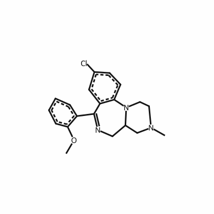 COc1ccccc1C1=NCC2CN(C)CCN2c2ccc(Cl)cc21